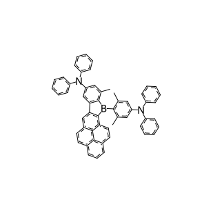 Cc1cc(N(c2ccccc2)c2ccccc2)cc(C)c1B1c2c(C)cc(N(c3ccccc3)c3ccccc3)cc2-c2cc3ccc4cccc5ccc(c21)c3c45